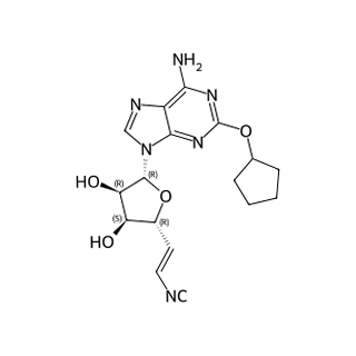 [C-]#[N+]C=C[C@H]1O[C@@H](n2cnc3c(N)nc(OC4CCCC4)nc32)[C@H](O)[C@@H]1O